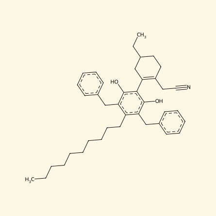 CCCCCCCCCCc1c(Cc2ccccc2)c(O)c(C2=C(CC#N)CCC(CC)C2)c(O)c1Cc1ccccc1